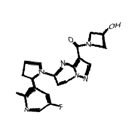 Cc1ncc(F)cc1C1CCCN1c1ccn2ncc(C(=O)N3CC(O)C3)c2n1